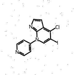 Clc1c(I)cn(-c2ccncc2)c2nccc1-2